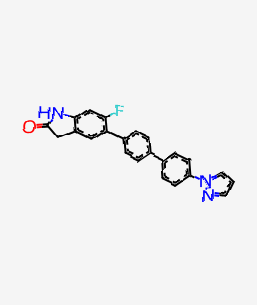 O=C1Cc2cc(-c3ccc(-c4ccc(-n5cccn5)cc4)cc3)c(F)cc2N1